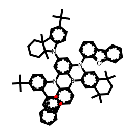 CC(C)(C)c1ccc(N2c3cc(N4c5ccc(C(C)(C)C)cc5C5(C)CCCCC45C)cc4c3B(c3cc5c(cc3N4c3cccc4c3oc3ccccc34)C(C)(C)CCC5(C)C)c3ccc4c(oc5ccccc54)c32)c(-c2ccccc2)c1